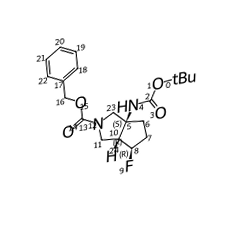 CC(C)(C)OC(=O)N[C@@]12CC[C@@H](F)[C@@H]1CN(C(=O)OCc1ccccc1)C2